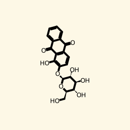 O=C1c2ccccc2C(=O)c2c1ccc(O[C@@H]1O[C@H](CO)[C@@H](O)[C@H](O)[C@H]1O)c2O